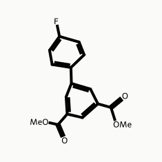 COC(=O)c1cc(C(=O)OC)cc(-c2ccc(F)cc2)c1